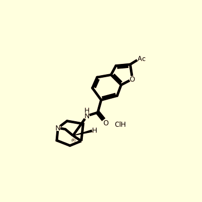 CC(=O)c1cc2ccc(C(=O)N[C@H]3CN4CCC3CC4)cc2o1.Cl